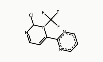 FC(F)(F)N1C(c2ncccn2)=CC=NC1Cl